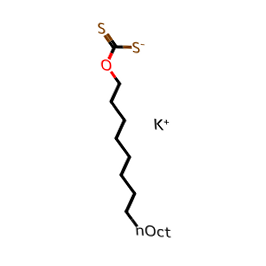 CCCCCCCCCCCCCCCCOC(=S)[S-].[K+]